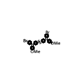 COc1ccc(N(c2ccc(Br)cc2)c2ccc(SSc3ccc(N(c4ccc(Br)cc4)c4ccc(OC)cc4)cc3)cc2)cc1